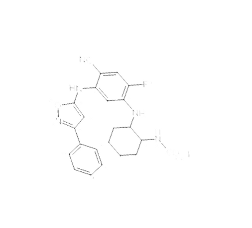 N#Cc1cc(F)c(NC2CCCCC2NC(=O)O)cc1Nc1cc(-c2ccccc2)no1